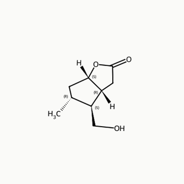 C[C@@H]1C[C@@H]2OC(=O)C[C@@H]2[C@H]1CO